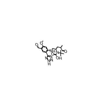 COc1cc(NCC(CC(C)C=O)N(C(=O)O)C(C)(C)C)c(-c2nn[nH]n2)cc1C=O